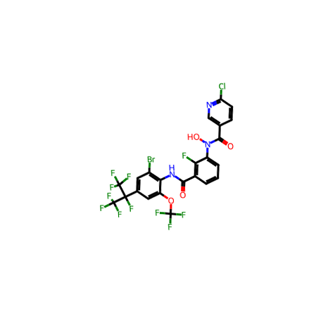 O=C(Nc1c(Br)cc(C(F)(C(F)(F)F)C(F)(F)F)cc1OC(F)(F)F)c1cccc(N(O)C(=O)c2ccc(Cl)nc2)c1F